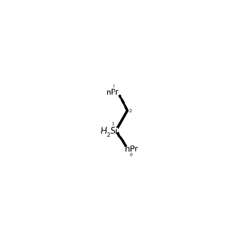 [CH2]CC[SiH2]CCCC